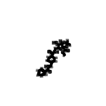 COC(=O)[C@@]12OC(CNC(=O)C3CCC(CNC(=O)c4ccccc4)CC3)[C@@H](O)[C@@H]1OC(C)(C)O2